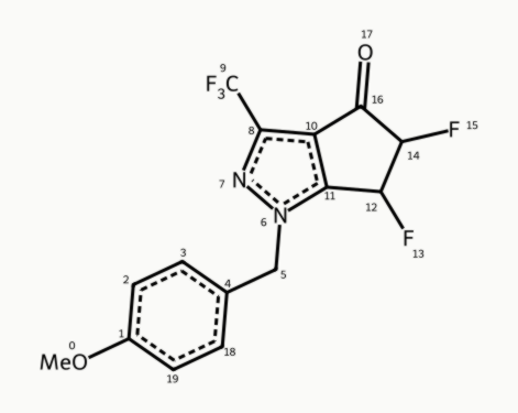 COc1ccc(Cn2nc(C(F)(F)F)c3c2C(F)C(F)C3=O)cc1